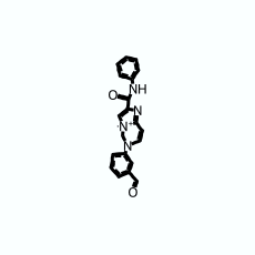 O=Cc1cccc(N2C=CC3=NC(C(=O)Nc4ccccc4)=C[N+]3C2)c1